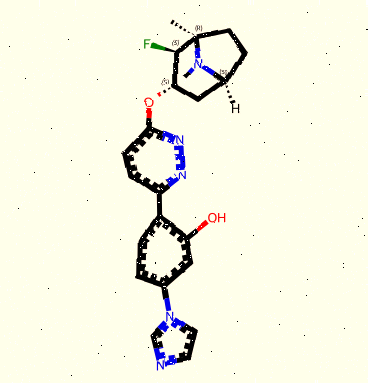 CN1[C@H]2CC[C@]1(C)[C@H](F)[C@@H](Oc1ccc(-c3ccc(-n4ccnc4)cc3O)nn1)C2